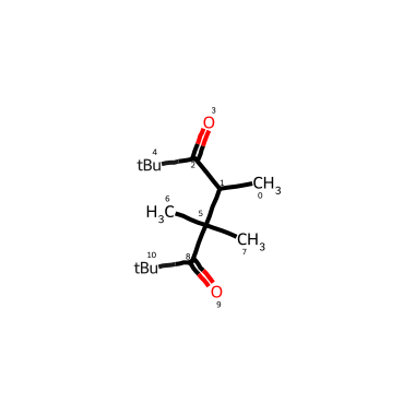 CC(C(=O)C(C)(C)C)C(C)(C)C(=O)C(C)(C)C